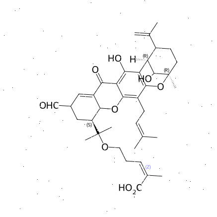 C=C(C)C1CC[C@@]2(C)Oc3c(CC=C(C)C)c4c(c(O)c3[C@@H]1C2O)C(=O)C1=CC(C=O)C[C@H](C(C)(C)OCC/C=C(/C)C(=O)O)C1O4